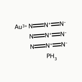 P.[Au+3].[N-]=[N+]=[N-].[N-]=[N+]=[N-].[N-]=[N+]=[N-]